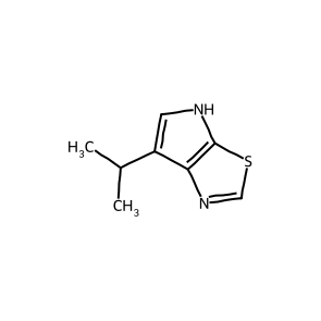 CC(C)c1c[nH]c2scnc12